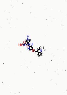 Cc1cc(CCOc2ccc(C(=O)NC3(CC(=O)NO)CCNCC3)nc2)c2ccccc2n1